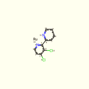 Clc1ccnc(-c2ccccn2)c1Cl.[Ru]